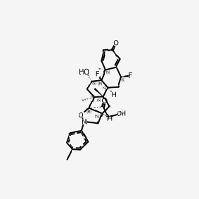 Cc1ccc(N2C[C@@H]3C[C@@]4(C)[C@@H]5C[C@H](F)C6=CC(=O)C=C[C@]6(C)[C@@]5(F)[C@@H](O)C[C@]4(C)[C@]3(C(=O)CO)O2)cc1